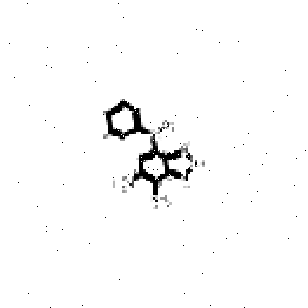 Nc1cc([S+]([O-])c2ccccc2)c2nonc2c1N